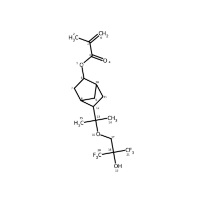 C=C(C)C(=O)OC1CC2CC1CC2C(C)(C)OCC(O)(C(F)(F)F)C(F)(F)F